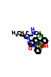 C=CCCN(/C(=N/C)c1cc(Cl)c(-c2c(O)cccc2F)nc1N(C=O)c1ccccc1S(F)(F)(F)(F)F)C(C)CNC